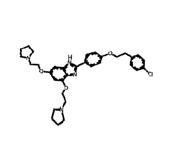 Clc1ccc(CCOc2ccc(-c3nc4c(OCCN5CCCC5)cc(OCCN5CCCC5)cc4[nH]3)cc2)cc1